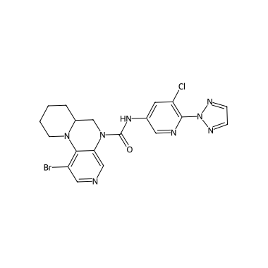 O=C(Nc1cnc(-n2nccn2)c(Cl)c1)N1CC2CCCCN2c2c(Br)cncc21